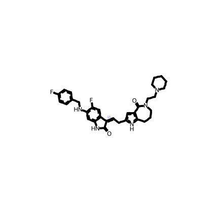 O=C1Nc2cc(NCc3ccc(F)cc3)c(F)cc2/C1=C/Cc1cc2c([nH]1)CCCN(CCN1CCCCC1)C2=O